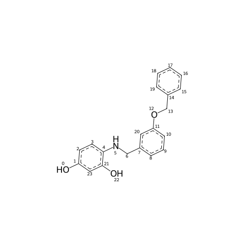 Oc1ccc(NCc2cccc(OCc3ccccc3)c2)c(O)c1